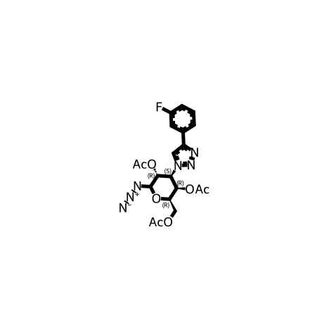 CC(=O)OC[C@H]1OC(N=[N+]=[N-])[C@H](OC(C)=O)[C@@H](n2cc(-c3cccc(F)c3)nn2)[C@H]1OC(C)=O